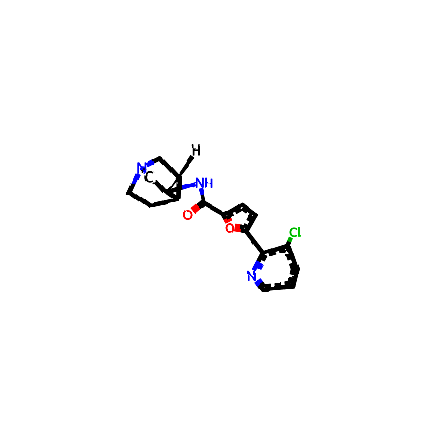 O=C(N[C@H]1CN2CCC1CC2)c1ccc(-c2ncccc2Cl)o1